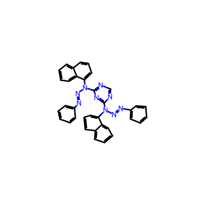 c1ccc(N=NN(c2ncnc(N(N=Nc3ccccc3)c3cccc4ccccc34)n2)c2cccc3ccccc23)cc1